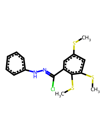 CSc1cc(SC)c(SC)c(C(Cl)=NNc2ccccc2)c1